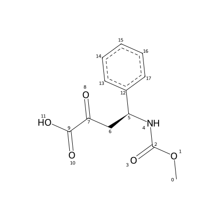 COC(=O)N[C@@H](CC(=O)C(=O)O)c1ccccc1